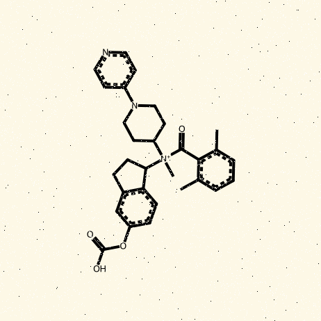 Cc1cccc(C)c1C(=O)[N+](C)(C1CCN(c2ccncc2)CC1)C1CCc2cc(OC(=O)O)ccc21